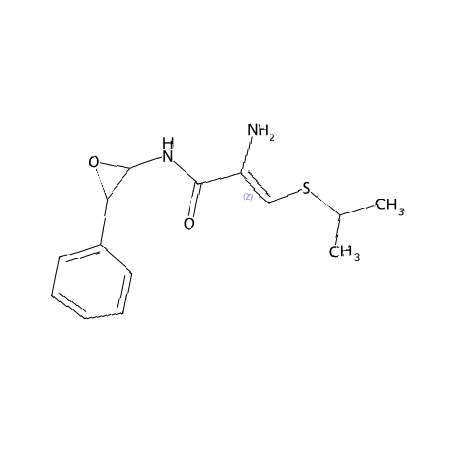 CC(C)S/C=C(\N)C(=O)NC1OC1c1ccccc1